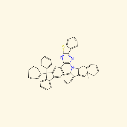 CC12C=C3c4ccccc4N(c4nc5c(nc4-c4ccc6c(c4)C(C4=CC=CCCC4)(c4ccccc4)c4ccccc4-6)sc4ccccc45)C3CC1=CC=CC2